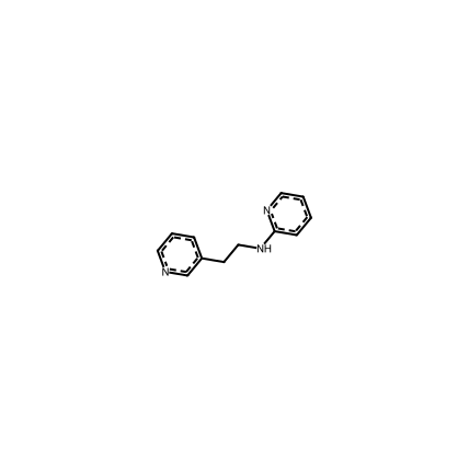 c1ccc(NCCc2cccnc2)nc1